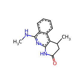 CNc1nc2c(c3ccccc13)C(C)CC(=O)N2